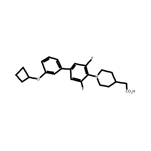 O=C(O)CC1CCN(c2c(F)cc(-c3cccc(OC4CCC4)c3)cc2F)CC1